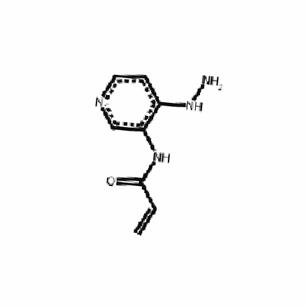 C=CC(=O)Nc1cnccc1NN